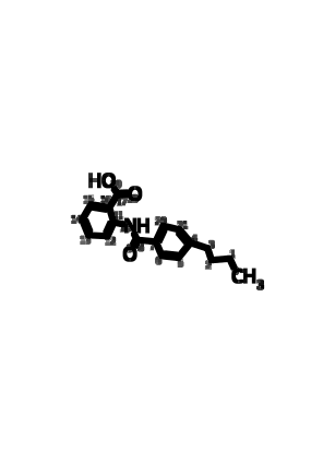 CCCCc1ccc(C(=O)Nc2ccccc2C(=O)O)cc1